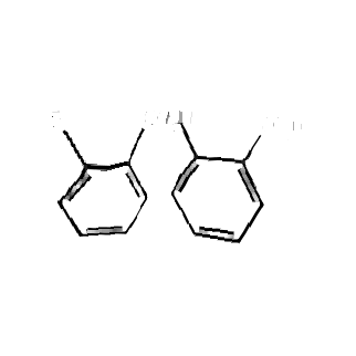 O=C(O)c1ccccc1Cl.O=C(O)c1ccccc1F